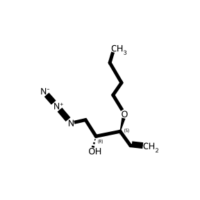 C=C[C@H](OCCCC)[C@H](O)CN=[N+]=[N-]